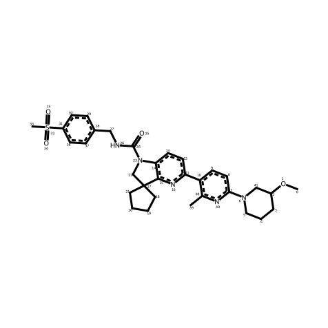 COC1CCCN(c2ccc(-c3ccc4c(n3)C3(CCCC3)CN4C(=O)NCc3ccc(S(C)(=O)=O)cc3)c(C)n2)C1